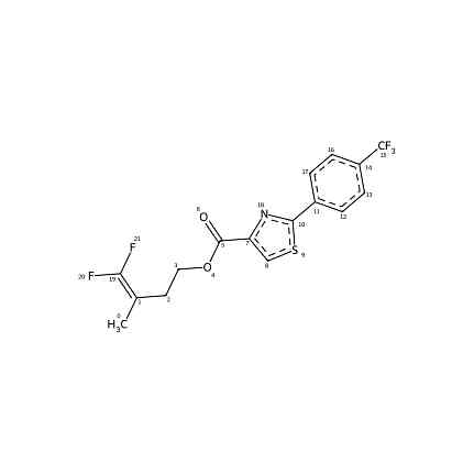 CC(CCOC(=O)c1csc(-c2ccc(C(F)(F)F)cc2)n1)=C(F)F